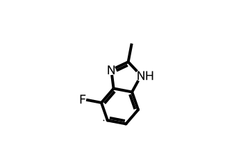 Cc1nc2c(F)[c]ccc2[nH]1